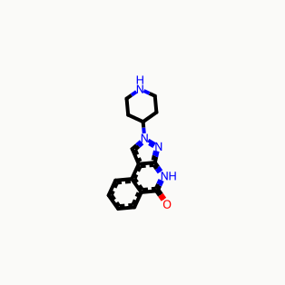 O=c1[nH]c2nn(C3CCNCC3)cc2c2ccccc12